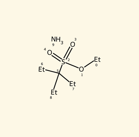 CCOS(=O)(=O)C(CC)(CC)CC.N